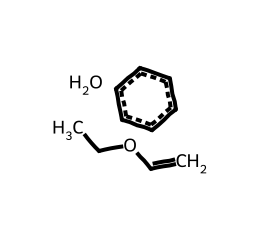 C=COCC.O.c1ccccc1